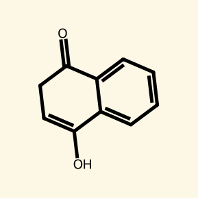 O=C1CC=C(O)c2ccccc21